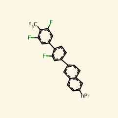 CCCc1ccc2cc(-c3ccc(-c4cc(F)c(C(F)(F)F)c(F)c4)c(F)c3)ccc2c1